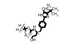 Cc1[nH]c(-c2ccc(C[C@@H](CCO)NC(=O)OC(C)(C)C)cc2)nc1C(C)(C)C